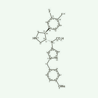 COc1ccc(Cn2cc(N(C(=O)O)[C@@H]3CNC[C@H]3c3ccc(F)c(F)c3)cn2)cc1